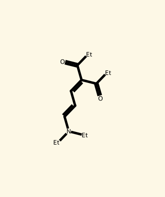 CCC(=O)C(=C/C=C/N(CC)CC)C(=O)CC